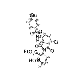 CCOC(=O)C1=C(N2C(=O)c3c(Cl)ccc(NS(=O)(=O)c4ccc(C(C)(C)C)cc4)c3C2=O)C=CC(C)N1O